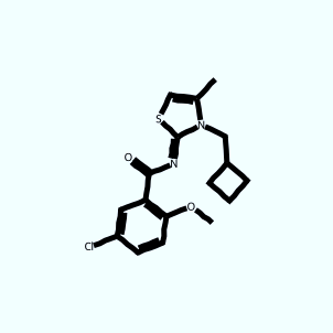 COc1ccc(Cl)cc1C(=O)/N=c1\scc(C)n1CC1CCC1